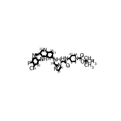 CC(C)(C)OC(=O)N1CCC(NC(=O)Cn2ccnc2CNc2ccc3ncc(C#N)c(Nc4ccc(F)c(Cl)c4)c3c2)CC1